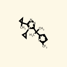 CC1(c2nnc(C(C)(C)c3ccc(C(F)(F)F)s3)n2C2CC2)CC1